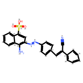 N#C/C(=C\c1ccc(/N=N/c2cc(S(=O)(=O)O)c3ccccc3c2N)cc1)c1ccccc1